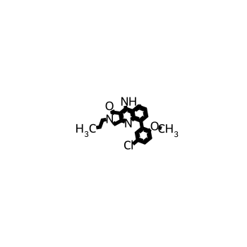 CCCN1Cc2nc3c(-c4cc(Cl)ccc4OC)cccc3c(N)c2C1=O